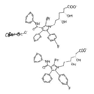 CC(=O)[O-].CC(=O)[O-].CC(C)c1c(C(=O)Nc2ccccc2)c(-c2ccccc2)c(-c2ccc(F)cc2)n1CC[C@@H](O)C[C@@H](O)CC(=O)[O-].CC(C)c1c(C(=O)Nc2ccccc2)c(-c2ccccc2)c(-c2ccc(F)cc2)n1CC[C@@H](O)C[C@@H](O)CC(=O)[O-].[Ca+2].[Ca+2]